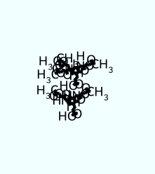 CC(=O)OCC(=O)Nc1c(I)c(CCC(=O)O)c(I)c(N(CC2COC(C)(C)O2)C(=O)COC(C)=O)c1I.CC(=O)OCC(=O)Nc1c(I)c(CCC(=O)O)c(I)c(NC(=O)COC(C)=O)c1I